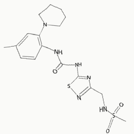 Cc1ccc(NC(=O)Nc2nc(CNS(C)(=O)=O)ns2)c(N2CCCCC2)c1